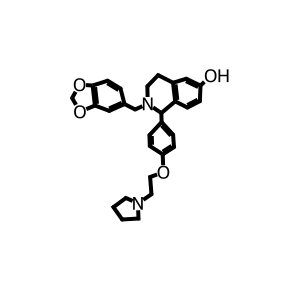 Oc1ccc2c(c1)CCN(Cc1ccc3c(c1)OCO3)C2c1ccc(OCCN2CCCC2)cc1